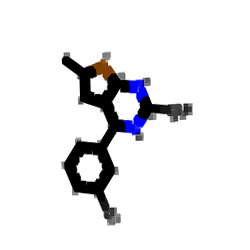 Cc1cc2c(-c3cccc(C(F)(F)F)c3)nc(C(=O)O)nc2s1